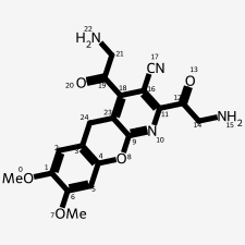 COc1cc2c(cc1OC)Oc1nc(C(=O)CN)c(C#N)c(C(=O)CN)c1C2